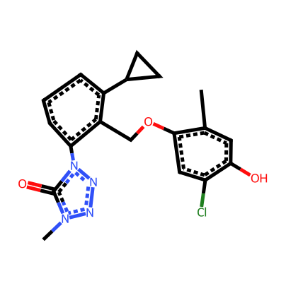 Cc1cc(O)c(Cl)cc1OCc1c(C2CC2)cccc1-n1nnn(C)c1=O